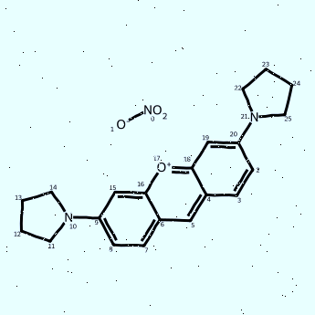 O=[N+]([O-])[O-].c1cc2cc3ccc(N4CCCC4)cc3[o+]c2cc1N1CCCC1